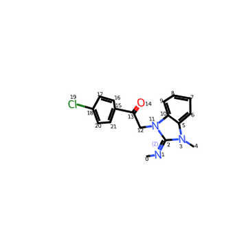 C/N=c1/n(C)c2ccccc2n1CC(=O)c1ccc(Cl)cc1